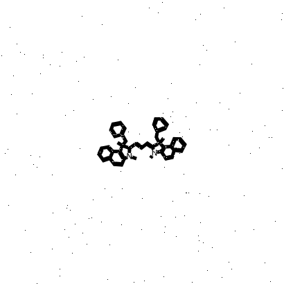 CN1C(=CC=CC2N(C)c3ccc4ccccc4c3C2(C)Cc2ccccc2)C(C)(Cc2ccccc2)c2c1ccc1ccccc21